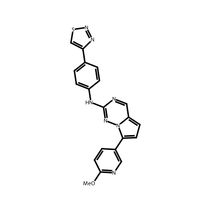 COc1ccc(-c2ccc3cnc(Nc4ccc(-c5csnn5)cc4)nn23)cn1